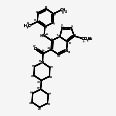 CCOC(=O)c1cnn2c(Nc3cc(C)ccc3C)c(C(=O)N3CCC(C4CCCCC4)CC3)cnc12